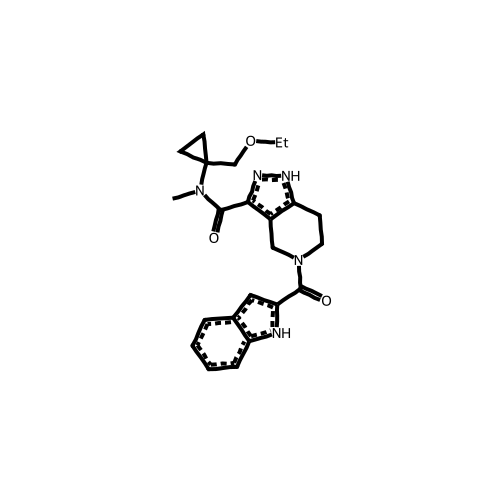 CCOCC1(N(C)C(=O)c2n[nH]c3c2CN(C(=O)c2cc4ccccc4[nH]2)CC3)CC1